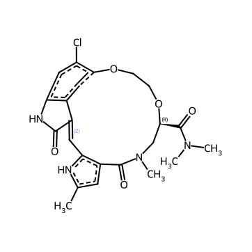 Cc1cc2c([nH]1)/C=C1\C(=O)Nc3cc(Cl)c(cc31)OCCO[C@@H](C(=O)N(C)C)CN(C)C2=O